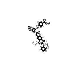 COc1cc(CC(=O)N2C[C@@H](OC)C[C@H]2COc2ccc(C(=O)O)cc2)ccc1NC(=O)Nc1ccccc1Cl